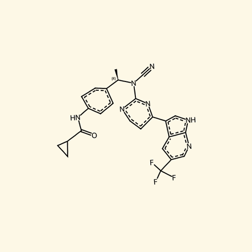 C[C@H](c1ccc(NC(=O)C2CC2)cc1)N(C#N)c1nccc(-c2c[nH]c3ncc(C(F)(F)F)cc23)n1